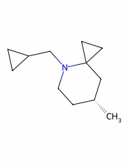 C[C@@H]1CCN(CC2CC2)C2(CC2)C1